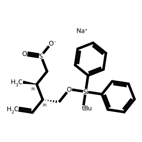 C=C[C@@H](CO[Si](c1ccccc1)(c1ccccc1)C(C)(C)C)[C@@H](C)CS(=O)[O-].[Na+]